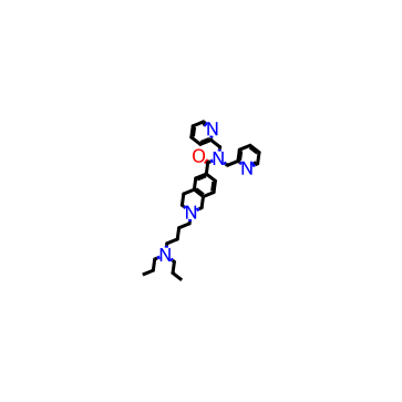 CCCN(CCC)CCCCN1CCc2cc(C(=O)N(Cc3ccccn3)Cc3ccccn3)ccc2C1